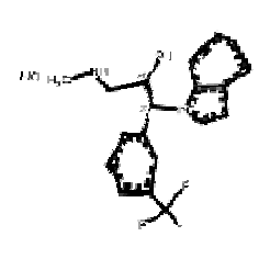 CNC[C@@H](O)[C@H](c1cccc(C(F)(F)F)c1)n1ccc2ccccc21.Cl